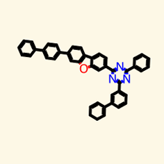 C1=CC(c2cccc(-c3nc(-c4ccccc4)nc(-c4ccc5c(c4)oc4cc(-c6ccc(-c7ccccc7)cc6)ccc45)n3)c2)=CCC1